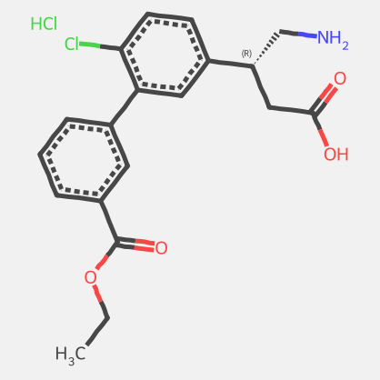 CCOC(=O)c1cccc(-c2cc([C@H](CN)CC(=O)O)ccc2Cl)c1.Cl